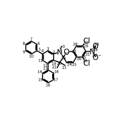 CN1c2cc(-c3ccccc3)cc(-c3ccccc3)c2C(C)(C)C12C=Cc1c(cc(Cl)c([N+](=O)[O-])c1Cl)O2